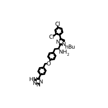 CCCCn1cc(-c2ccc(Cl)cc2Cl)nc1[C@@H](N)Cc1ccc(OCc2ccc(-c3nnn[nH]3)cc2)cc1